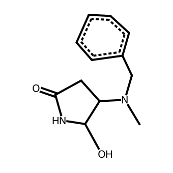 CN(Cc1ccccc1)C1CC(=O)NC1O